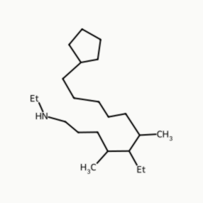 CCNCCCC(C)C(CC)C(C)CCCCCC1CCCC1